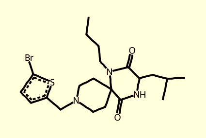 CCCCN1C(=O)C(CC(C)C)NC(=O)C12CCN(Cc1ccc(Br)s1)CC2